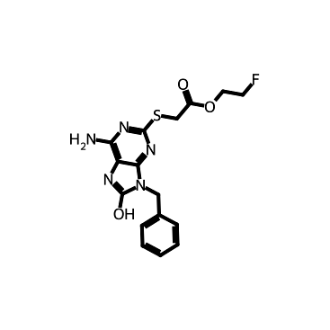 Nc1nc(SCC(=O)OCCF)nc2c1nc(O)n2Cc1ccccc1